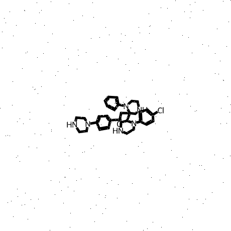 O=C(CC1(C2CNCCN2c2ccc(Cl)cc2)CNCCN1c1ccccc1)c1ccc(N2CCNCC2)cc1